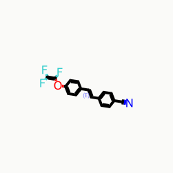 N#Cc1ccc(/C=C/c2ccc(OC(F)=C(F)F)cc2)cc1